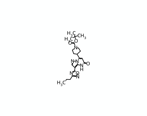 CCCc1noc(-c2cnn3c(C4CCN(C(=O)OC(C)(C)C)CC4)cc(=O)[nH]c23)n1